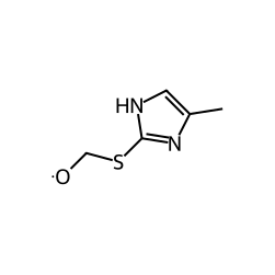 Cc1c[nH]c(SC[O])n1